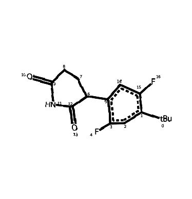 CC(C)(C)c1cc(F)c(C2CCC(=O)NC2=O)cc1F